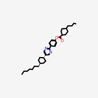 CCCCCCC[C@H]1CC[C@H](c2cnc(-c3ccc(OC(=O)C4CCC(CCCC)CC4)cc3)nc2)CC1